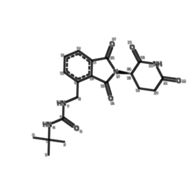 CC(C)(C)NC(=O)NCc1cccc2c1C(=O)N([C@@H]1CCC(=O)NC1=O)C2=O